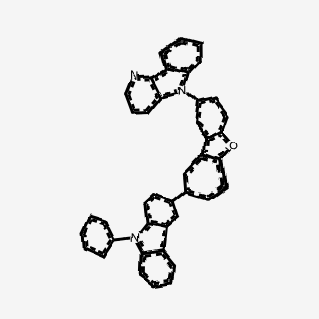 c1ccc(-n2c3ccccc3c3cc(-c4ccc5oc6ccc(-n7c8ccccc8c8ncccc87)cc6c5c4)ccc32)cc1